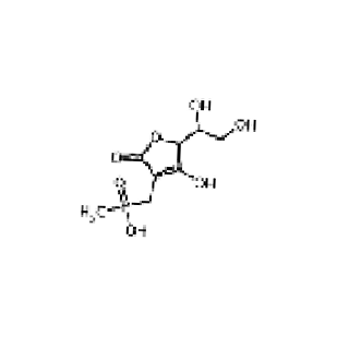 CP(=O)(O)CC1=C(O)C(C(O)CO)OC1=O